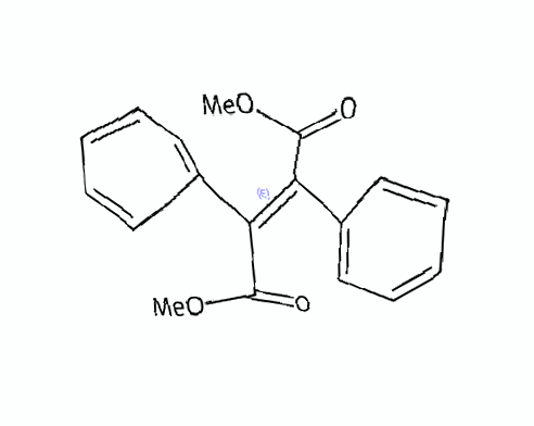 COC(=O)/C(=C(/C(=O)OC)c1ccccc1)c1ccccc1